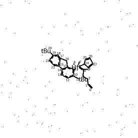 C=CCC[C](C)=[Hf]([CH3])([CH3])([c]1c(C(C)(C)C)ccc2c1Cc1cc(C(C)(C)C)ccc1-2)[CH]1C=CC=C1